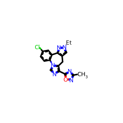 CCn1cc2c(n1)-c1cc(Cl)ccc1-n1cnc(-c3nc(C)no3)c1C2